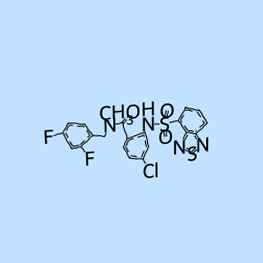 CN(Cc1ccc(F)cc1F)C(=O)c1ccc(Cl)cc1NS(=O)(=O)c1cccc2nsnc12